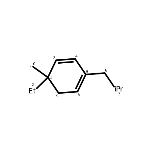 [CH2]C1(CC)C=CC(CC(C)C)=CC1